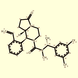 C=Cc1ccccc1[C@H]1[C@@H]2CCC(=O)N2CCN1C(=O)N(C)[C@H](C)c1cc(C(F)(F)F)cc(C(F)(F)F)c1